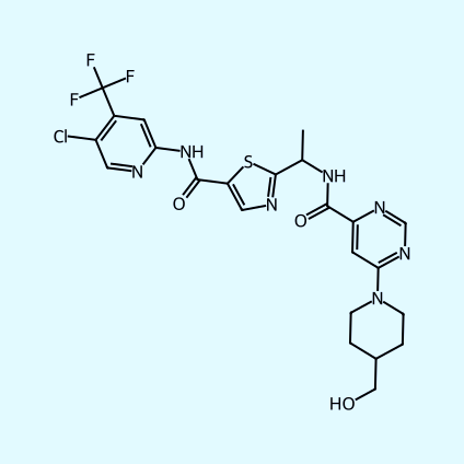 CC(NC(=O)c1cc(N2CCC(CO)CC2)ncn1)c1ncc(C(=O)Nc2cc(C(F)(F)F)c(Cl)cn2)s1